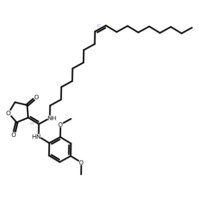 CCCCCCCC/C=C\CCCCCCCCN/C(Nc1ccc(OC)cc1OC)=C1\C(=O)COC1=O